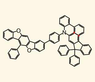 c1ccc(-c2ccccc2N(c2ccc(-c3ccc4oc5c(-c6ccccc6)c6c(cc5c4c3)oc3ccccc36)cc2)c2ccc3c(c2)C(c2ccccc2)(c2ccccc2)c2ccccc2-3)cc1